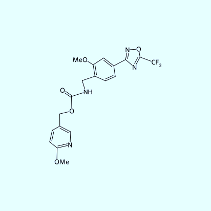 COc1ccc(COC(=O)NCc2ccc(-c3noc(C(F)(F)F)n3)cc2OC)cn1